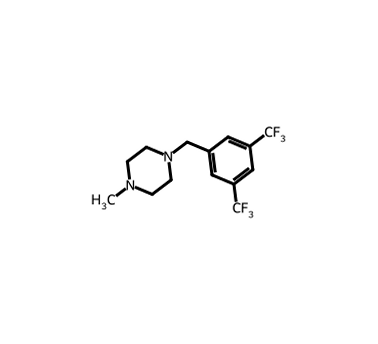 CN1CCN(Cc2cc(C(F)(F)F)cc(C(F)(F)F)c2)CC1